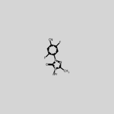 CCCn1c(C)nn(-c2cc(F)c(C#N)cc2F)c1=O